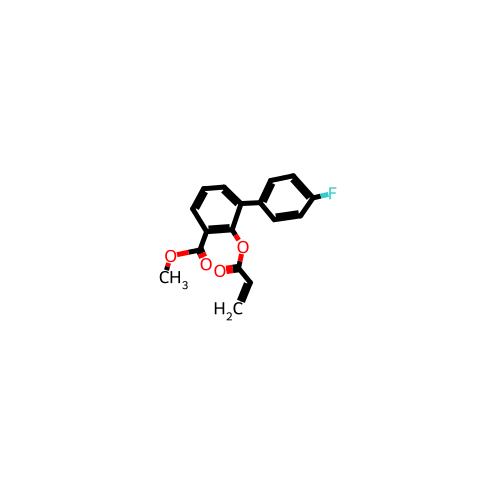 C=CC(=O)Oc1c(C(=O)OC)cccc1-c1ccc(F)cc1